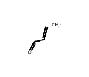 C=CC=O.[CH3]